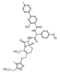 [2H]Oc1ccc(C(NC(=O)c2ccc(-c3ccc(C)cc3)nc2O)C(=O)NC2C(=O)N3C(C(=O)O)=C(CSc4nnc(CC(=O)O)n4C)CS[C@@H]23)cc1